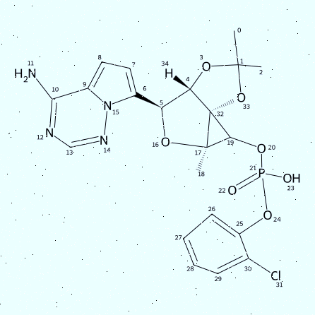 CC1(C)O[C@H]2[C@H](c3ccc4c(N)ncnn34)O[C@]3(C)C(OP(=O)(O)Oc4ccccc4Cl)[C@]23O1